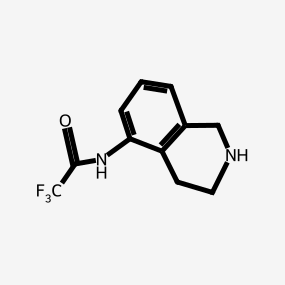 O=C(Nc1cccc2c1CCNC2)C(F)(F)F